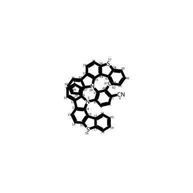 N#Cc1ccc(-n2c3ccccc3c3ccc4sc5ccccc5c4c32)c(-n2c3ccccc3c3ccc4sc5ccccc5c4c32)c1C#N